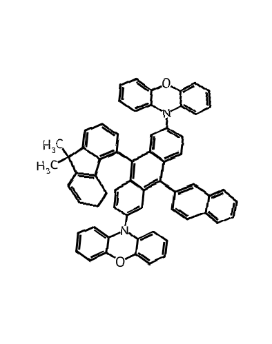 CC1(C)C2=C(CCC=C2)c2c(-c3c4ccc(N5c6ccccc6Oc6ccccc65)cc4c(-c4ccc5ccccc5c4)c4ccc(N5c6ccccc6Oc6ccccc65)cc34)cccc21